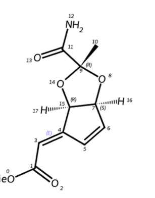 COC(=O)/C=C1\C=C[C@@H]2O[C@@](C)(C(N)=O)O[C@H]12